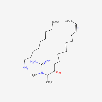 CCCCCCCC/C=C\CCCCCCCC(=O)C(C(=O)O)N(C)C(=N)N.CCCCCCCCCCCCCCCCCCN